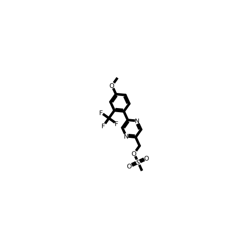 COc1ccc(-c2cnc(COS(C)(=O)=O)cn2)c(C(F)(F)F)c1